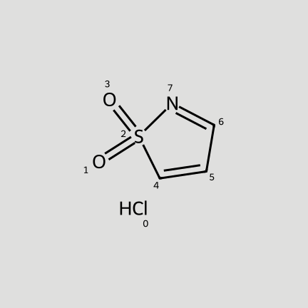 Cl.O=S1(=O)C=CC=N1